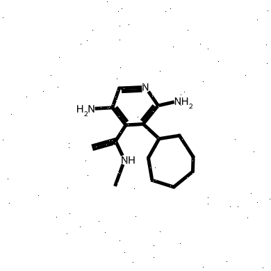 C=C(NC)c1c(N)cnc(N)c1C1CCCCCC1